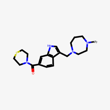 CC(C)N1CCCN(Cc2c[nH]c3cc(C(=O)N4CCSCC4)ccc23)CC1